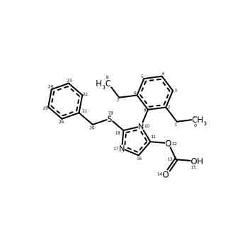 CCc1cccc(CC)c1-n1c(OC(=O)O)cnc1SCc1ccccc1